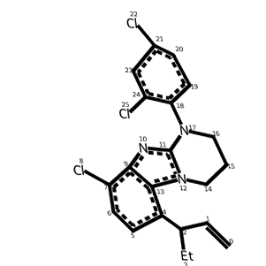 C=CC(CC)c1ccc(Cl)c2nc3n(c12)CCCN3c1ccc(Cl)cc1Cl